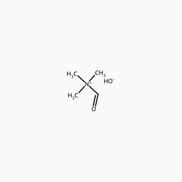 C[N+](C)(C)C=O.[OH-]